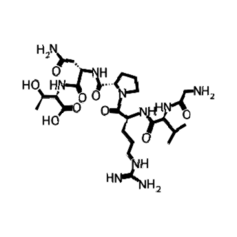 CC(C)[C@H](NC(=O)CN)C(=O)N[C@@H](CCCNC(=N)N)C(=O)N1CCC[C@H]1C(=O)N[C@@H](CC(N)=O)C(=O)N[C@H](C(=O)O)[C@@H](C)O